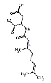 CC(C)=CCC/C(C)=C/C(=O)NC(CC(=O)O)C(=O)O